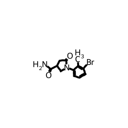 Cc1c(Br)cccc1N1CC(C(N)=O)CC1=O